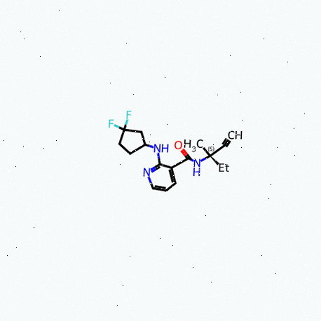 C#C[C@](C)(CC)NC(=O)c1cccnc1NC1CCC(F)(F)C1